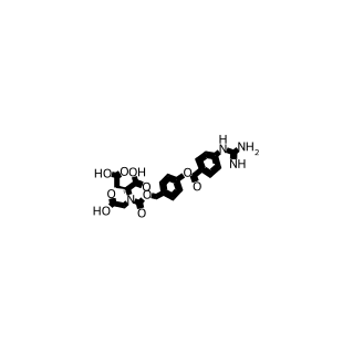 N=C(N)Nc1ccc(C(=O)Oc2ccc(COC(=O)N(CC(=O)O)[C@@H](CC(=O)O)C(=O)O)cc2)cc1